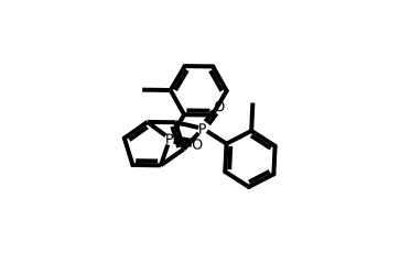 Cc1ccccc1P1(=O)C2=CC=C1C1=C2P1(=O)c1ccccc1C